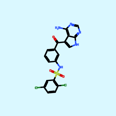 Nc1ncnc2[nH]cc(C(=O)c3cccc(NS(=O)(=O)c4cc(Cl)ccc4Cl)c3)c12